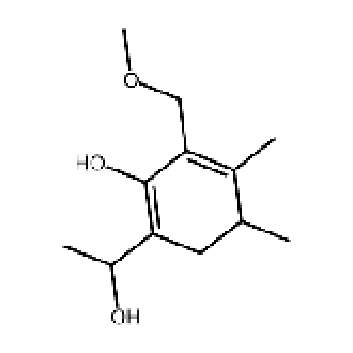 COCC1=C(C)C(C)CC(C(C)O)=C1O